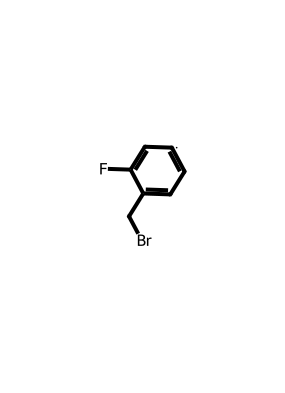 Fc1c[c]ccc1CBr